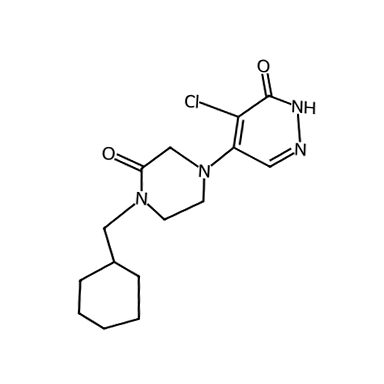 O=C1CN(c2cn[nH]c(=O)c2Cl)CCN1CC1CCCCC1